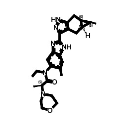 CCN(C(=O)[C@H](C)N1CCOCC1)c1cc2nc(-c3n[nH]c4c3C[C@@H]3[C@H](C)[C@]3(C)C4)[nH]c2cc1C